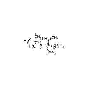 C=Cc1c(/C=C(\C)C(C)(C)C)ccn1C